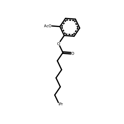 CC(=O)Oc1ccccc1OC(=O)CCCCCC(C)C